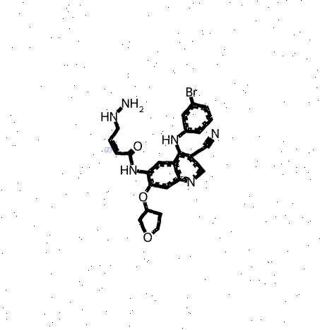 N#Cc1cnc2cc(OC3CCOC3)c(NC(=O)/C=C\CNN)cc2c1Nc1cccc(Br)c1